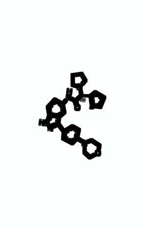 O=C(Nc1ccc2[nH]nc(-c3ccc(N4CCOCC4)cc3)c2c1)[C@H](c1cccs1)N1CCCC1